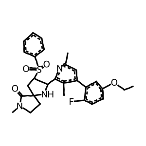 CCOc1ccc(F)c(-c2cc(C)nc(C3NC4(CCN(C)C4=O)CC3S(=O)(=O)c3ccccc3)c2C)c1